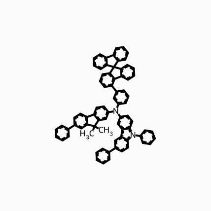 CC1(C)c2cc(-c3ccccc3)ccc2-c2ccc(N(c3cccc(-c4cccc5c4-c4ccccc4C54c5ccccc5-c5ccccc54)c3)c3ccc4c(c3)c3cc(-c5ccccc5)ccc3n4-c3ccccc3)cc21